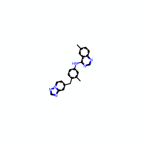 Cc1ccc2ncnc(Nc3ccc(Cc4ccn5ncnc5c4)c(C)c3)c2c1